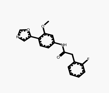 COc1cc(NC(=O)Cc2ccccc2F)ccc1-c1cnco1